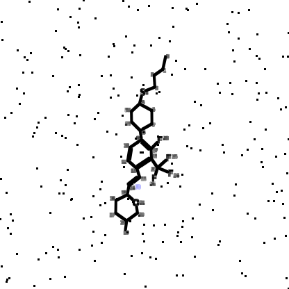 CCCCSC1CCC(c2ccc(/C=C/C3CCC(C)CO3)c(C(F)(F)F)c2F)CC1